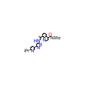 CNC(=O)c1ccnc2c([C@H](C)CNc3cc(-c4ccc(C(C)C)nc4)ncn3)cccc12